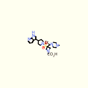 CCC(N1CCN(C)CC1)C1(S(=O)(=O)N2CCC(c3c[nH]c4ncccc34)CC2)CN(C(=O)O)C1